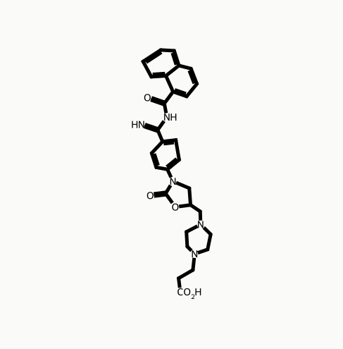 N=C(NC(=O)c1cccc2ccccc12)c1ccc(N2CC(CN3CCN(CCC(=O)O)CC3)OC2=O)cc1